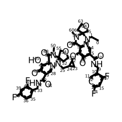 CCN1n2cc(C(=O)NCc3ccc(F)cc3F)c(=O)c(OC3CC3CN3n4cc(C(=O)NCc5ccc(F)cc5F)c(=O)c(O)c4C(=O)N(C)C34CCOC4)c2C(=O)N(C)C12CCOC2